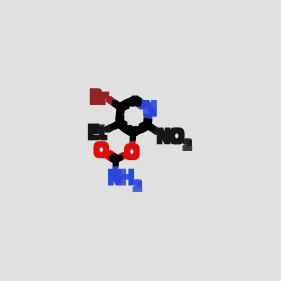 CCc1c(Br)cnc([N+](=O)[O-])c1OC(N)=O